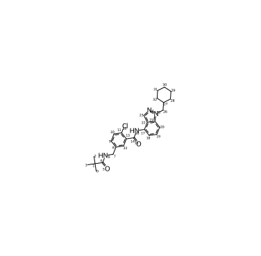 CC(C)(C)C(=O)NCc1ccc(Cl)c(C(=O)Nc2cccc3c2cnn3CC2CCCCC2)c1